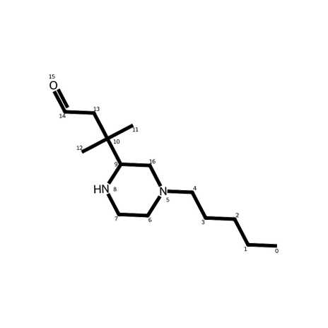 CCCCCN1CCNC(C(C)(C)CC=O)C1